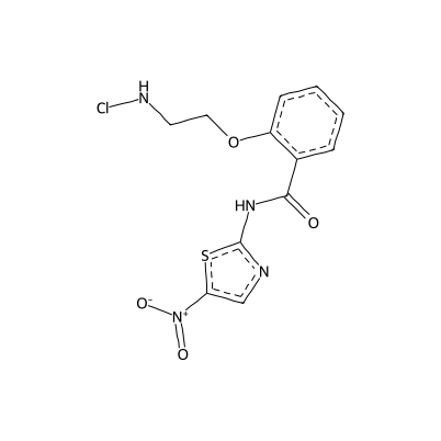 O=C(Nc1ncc([N+](=O)[O-])s1)c1ccccc1OCCNCl